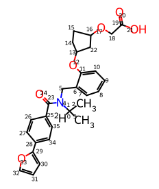 [2H]C(C)(C)N(Cc1ccccc1OC1CCC(OCC(=O)O)C1)C(=O)c1ccc(-c2ccco2)cc1